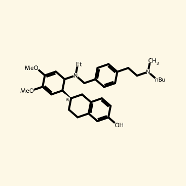 CCCCN(C)CCc1ccc(CN(CC)C2C=C(OC)C(OC)=CC2[C@@H]2CCc3cc(O)ccc3C2)cc1